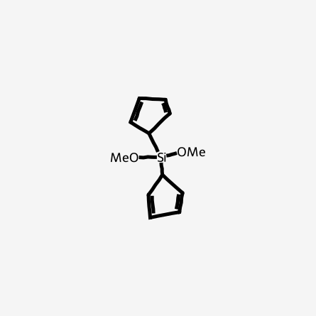 CO[Si](OC)(C1C=CC=C1)C1C=CC=C1